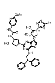 CCc1nnn([C@H]2C[C@@H](n3cnc4c(NCC(c5ccccc5)c5ccccc5)nc(N5CCC(NC(=O)Nc6ccc(OC)nc6)C5)nc43)[C@H](O)[C@@H]2O)n1.Cl